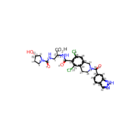 O=C(N[C@@H](CNC(=O)N1CC[C@H](O)C1)C(=O)O)c1c(Cl)cc2c(c1Cl)CCN(C(=O)c1ccc3cn[nH]c3c1)C2